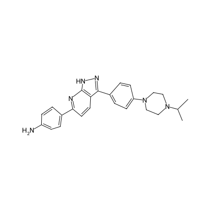 CC(C)N1CCN(c2ccc(-c3n[nH]c4nc(-c5ccc(N)cc5)ccc34)cc2)CC1